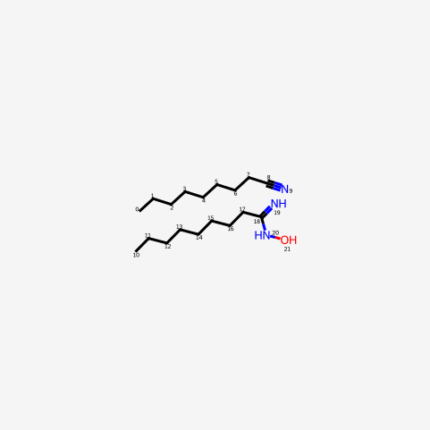 CCCCCCCCC#N.CCCCCCCCC(=N)NO